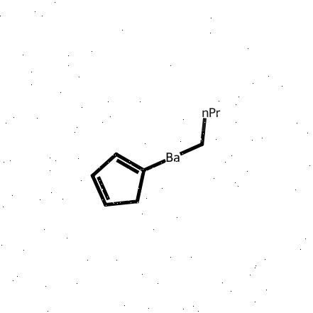 CCC[CH2][Ba][C]1=CC=CC1